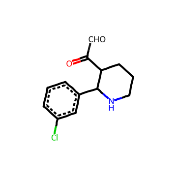 O=CC(=O)C1CCCNC1c1cccc(Cl)c1